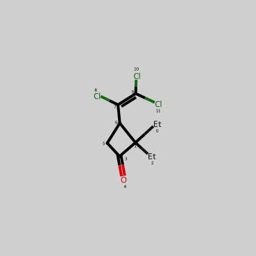 CCC1(CC)C(=O)CC1C(Cl)=C(Cl)Cl